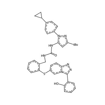 CC(C)(C)c1cc(NC(=O)NCc2ccccc2Sc2ccc3nnc(-c4ccccc4O)n3c2)n(-c2ccc(C3CC3)cc2)n1